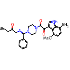 Bc1ccc(OC)c2c(C(=O)C(=O)N3CCN(/C(=N/CC(=O)CC(C)(C)C)c4ccccc4)CC3)c[nH]c12